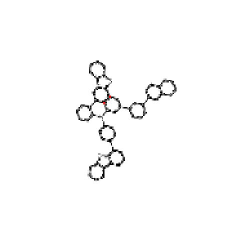 c1cc(-c2cccc(N(c3ccc(-c4cccc5c4oc4ccccc45)cc3)c3ccccc3-c3ccc4sc5ccccc5c4c3)c2)cc(-c2ccc3ccccc3c2)c1